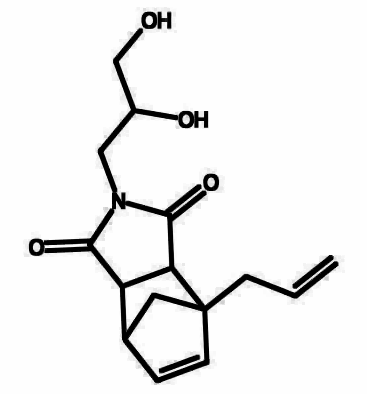 C=CCC12C=CC(C1)C1C(=O)N(CC(O)CO)C(=O)C12